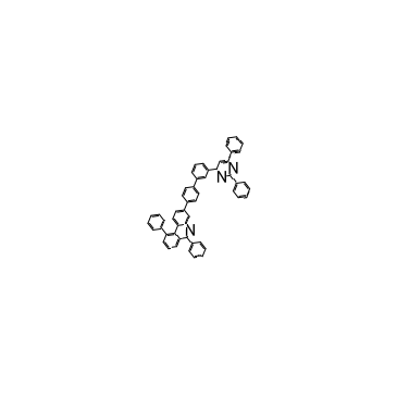 c1ccc(-c2cc(-c3cccc(-c4ccc(-c5ccc6c(c5)nc(-c5ccccc5)c5cccc(-c7ccccc7)c56)cc4)c3)nc(-c3ccccc3)n2)cc1